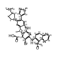 COc1cc(N2CCC(N(C)C)C2)c(-c2cnn(C)c2)cc1Nc1ncc(Br)c(Nc2ccc3nccnc3c2P(C)(C)=O)n1.O=CO